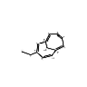 CCC1=CC2=CC=CC=C(C=C1)C2